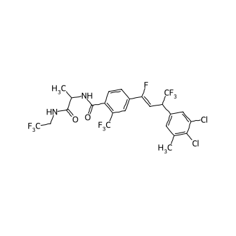 Cc1cc(C(/C=C(\F)c2ccc(C(=O)NC(C)C(=O)NCC(F)(F)F)c(C(F)(F)F)c2)C(F)(F)F)cc(Cl)c1Cl